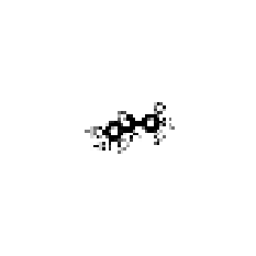 COc1cc(-c2coc3cc(O)c(O)c(OC)c3c2=O)cc(OC)c1OC